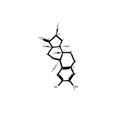 CC[C@]12CC[C@@H]3c4cc(C#N)c(O)cc4CC[C@H]3[C@@H]1C[C@H](F)C2=O